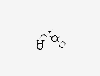 CC(=O)O[C@H](CN1C(=O)c2ccccc2C1=O)CN(C(=O)OC(C)(C)C)c1ccc(N2CCOCC2)c(F)c1